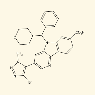 Cn1nnc(Br)c1-c1cnc2c3ccc(C(=O)O)cc3n(C(c3ccccc3)C3CCOCC3)c2c1